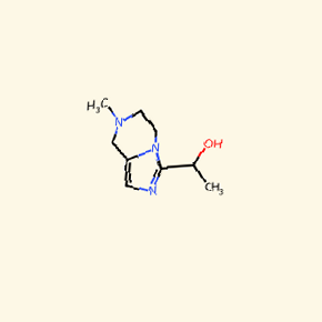 CC(O)c1ncc2n1CCN(C)C2